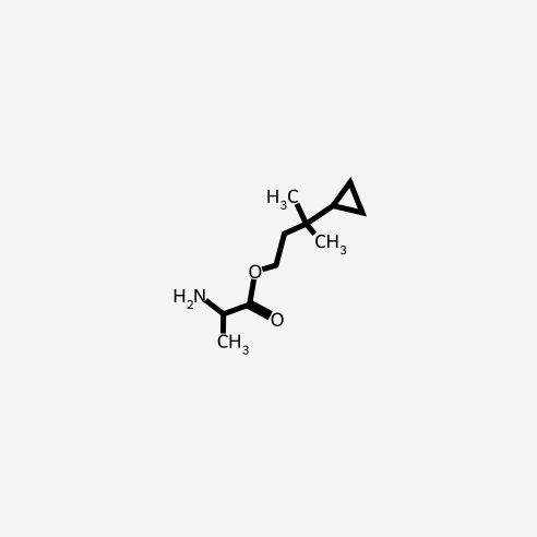 CC(N)C(=O)OCCC(C)(C)C1CC1